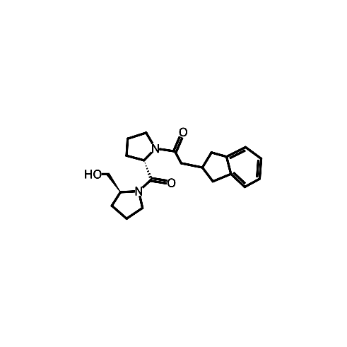 O=C([C@@H]1CCCN1C(=O)CC1Cc2ccccc2C1)N1CCC[C@H]1CO